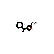 CCCCCCCCc1cc(C(C)c2ccccc2)cs1